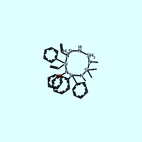 C=CN1[SiH2]N[SiH2]N(C)[Si](C)(C)N(C)[Si](c2ccccc2)(c2ccccc2)N(c2ccccc2)[Si]1(C=C)c1ccccc1